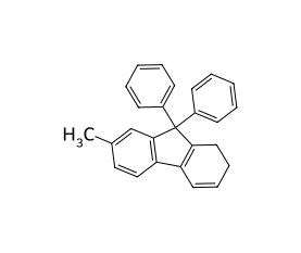 Cc1ccc2c(c1)C(c1ccccc1)(c1ccccc1)C1=C2C=CCC1